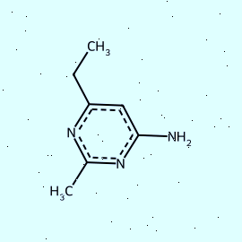 CCc1cc(N)nc(C)n1